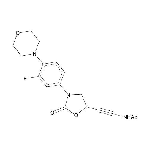 CC(=O)NC#CC1CN(c2ccc(N3CCOCC3)c(F)c2)C(=O)O1